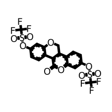 O=c1oc2cc(OS(=O)(=O)C(F)(F)F)ccc2c2c1-c1ccc(OS(=O)(=O)C(F)(F)F)cc1OC2